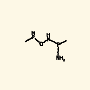 CPONP(C)N